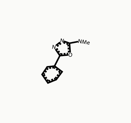 CNc1nnc(-c2ccccc2)o1